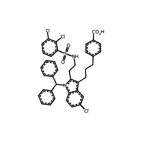 O=C(O)c1ccc(CCCc2c(CCNS(=O)(=O)c3cccc(Cl)c3Cl)n(C(c3ccccc3)c3ccccc3)c3ccc(Cl)cc23)cc1